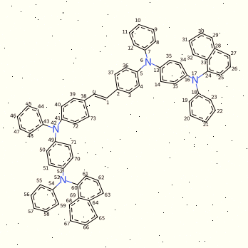 C(=C\c1ccc(N(c2ccccc2)c2ccc(N(c3ccccc3)c3cccc4ccccc34)cc2)cc1)/c1ccc(N(c2ccccc2)c2ccc(N(c3ccccc3)c3cccc4ccccc34)cc2)cc1